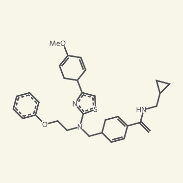 C=C(NCC1CC1)C1=CCC(CN(CCOc2ccccc2)c2nc(C3C=CC(OC)=CC3)cs2)C=C1